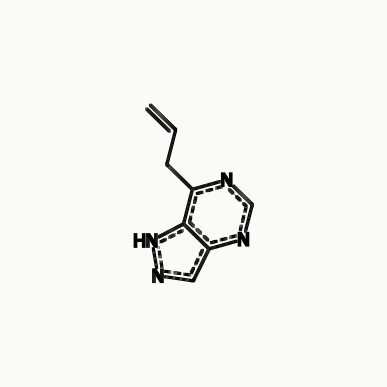 C=CCc1ncnc2cn[nH]c12